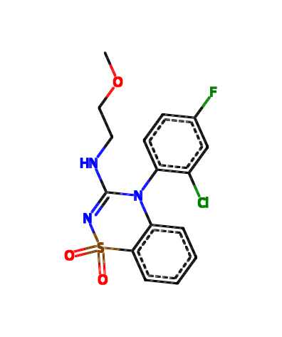 COCCNC1=NS(=O)(=O)c2ccccc2N1c1ccc(F)cc1Cl